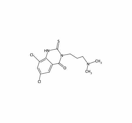 CN(C)CCCn1c(=S)[nH]c2c(Cl)cc(Cl)cc2c1=O